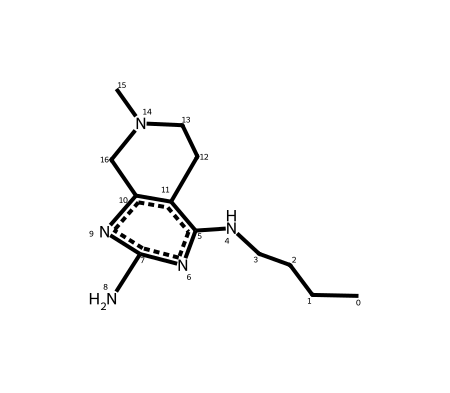 CCCCNc1nc(N)nc2c1CCN(C)C2